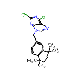 CC1(C)CCC(C)(C)c2cc(Cn3cnc4c(Cl)nc(Cl)nc43)ccc21